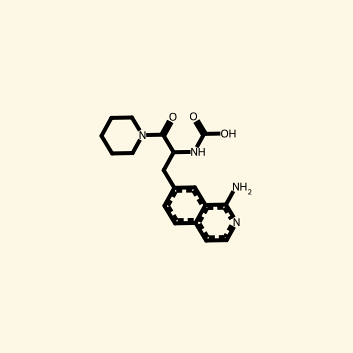 Nc1nccc2ccc(CC(NC(=O)O)C(=O)N3CCCCC3)cc12